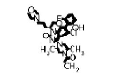 C=CC(=O)N1C[C@H](C)N(c2nc(=O)n3c4c(c(-c5c(O)cccc5F)c(Cl)cc24)OC[C@@H]3CCCN2CCOCC2)C[C@H]1C